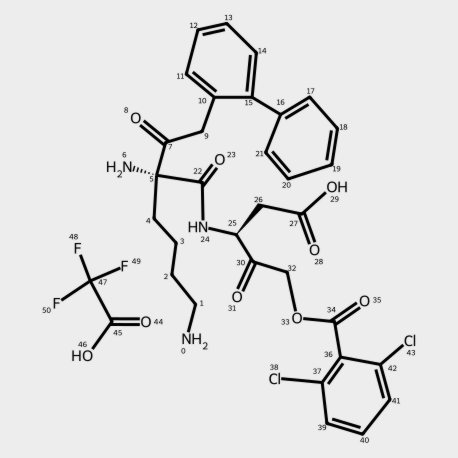 NCCCC[C@@](N)(C(=O)Cc1ccccc1-c1ccccc1)C(=O)N[C@@H](CC(=O)O)C(=O)COC(=O)c1c(Cl)cccc1Cl.O=C(O)C(F)(F)F